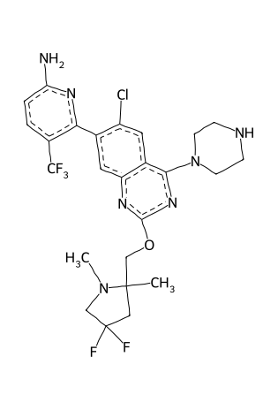 CN1CC(F)(F)CC1(C)COc1nc(N2CCNCC2)c2cc(Cl)c(-c3nc(N)ccc3C(F)(F)F)cc2n1